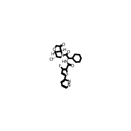 O=C(N[C@H](C(=O)N1C[C@H](Cl)[C@H]2OCC(=O)[C@H]21)C1CCCCC1)c1sc(-c2cccnn2)cc1F